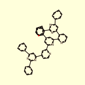 c1ccc(-c2cc(-c3cc(-c4cc(-c5ccccc5)nc(-c5ccccc5)n4)ccn3)nc(-c3ncccc3-c3cc(-c4ccccc4)nc(-c4ccccc4)n3)c2)cc1